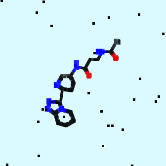 CCC(=O)NCCC(=O)Nc1ccc(-c2nnc3ccccn23)nc1